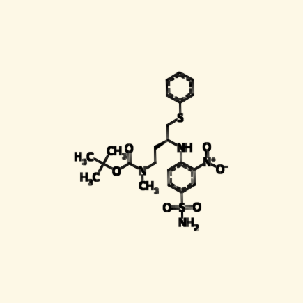 CN(CC[C@@H](CSc1ccccc1)Nc1ccc(S(N)(=O)=O)cc1[N+](=O)[O-])C(=O)OC(C)(C)C